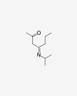 CCC/C(CC(C)=O)=N\C(C)C